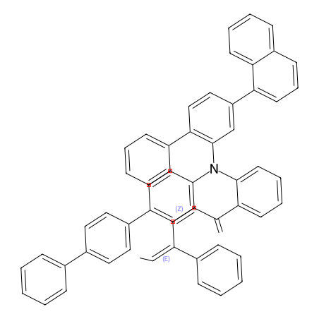 C=C(/C=C\C(=C/C)c1ccccc1)c1ccccc1N(c1ccc(-c2ccc(-c3ccccc3)cc2)cc1)c1cc(-c2cccc3ccccc23)ccc1-c1ccccc1